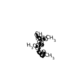 CCOC(=O)C[C@@H](c1ccc(OC)nc1)N1CCN(CCC(OC(C)=O)c2ccc3c(n2)N(C(C)=O)CCC3)C1=O